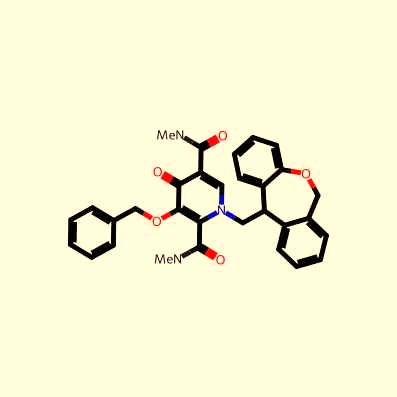 CNC(=O)c1cn(CC2c3ccccc3COc3ccccc32)c(C(=O)NC)c(OCc2ccccc2)c1=O